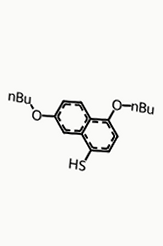 CCCCOc1ccc2c(OCCCC)ccc(S)c2c1